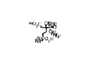 O=C(O)CCC(CC(=O)O)(C(=O)O)P(=O)(O)O.[Na+].[Na+].[Na+].[Na+]